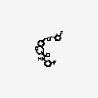 O=C(Nc1cccc(F)c1)N1CCOc2ccc(COCc3cccc(F)c3)cc2C1